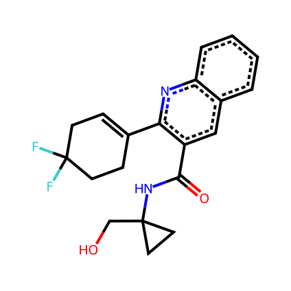 O=C(NC1(CO)CC1)c1cc2ccccc2nc1C1=CCC(F)(F)CC1